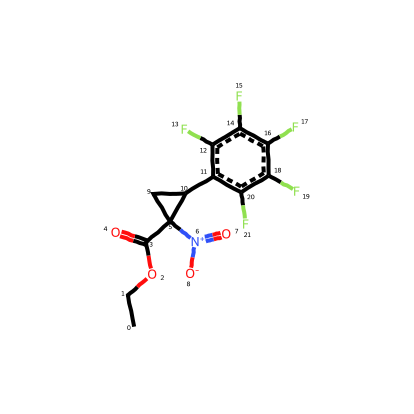 CCOC(=O)C1([N+](=O)[O-])CC1c1c(F)c(F)c(F)c(F)c1F